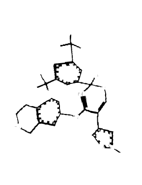 Cn1cc(C2=CNC(N)(c3cc(C(F)(F)F)cc(C(F)(F)F)c3)N=C2Nc2ccc3c(c2)CNCC3)cn1